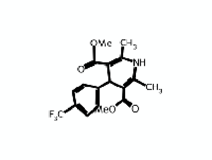 COC(=O)C1=C(C)NC(C)=C(C(=O)OC)C1c1ccc(C(F)(F)F)cc1